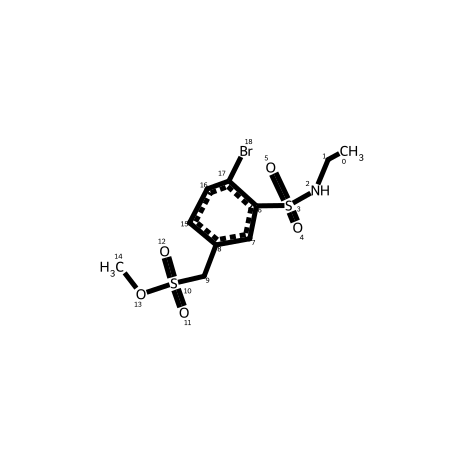 CCNS(=O)(=O)c1cc(CS(=O)(=O)OC)ccc1Br